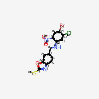 CSc1nc2ccc(CNc3cc(Cl)c(Br)cc3[N+](=O)[O-])cc2o1